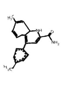 CC1=CC2NC(C(N)=O)=CC(c3ccc(C)cc3)=C2C=C1